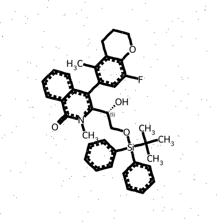 Cc1c(-c2c([C@H](O)CO[Si](c3ccccc3)(c3ccccc3)C(C)(C)C)n(C)c(=O)c3ccccc23)cc(F)c2c1CCCO2